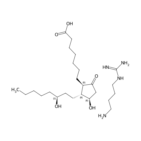 CCCCC[C@H](O)CC[C@H]1[C@H](O)CC(=O)[C@@H]1CCCCCCC(=O)O.N=C(N)NCCCCN